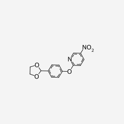 O=[N+]([O-])c1ccc(Oc2ccc(C3OCCO3)cc2)nc1